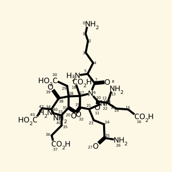 NCCCCC(N)C(=O)N(C(=O)C(N)CCC(=O)O)C(C(=O)O)(C(=O)C(N)CCC(N)=O)C(CC(=O)O)(C(=O)C(N)CCC(=O)O)C(=O)C(N)CC(=O)O